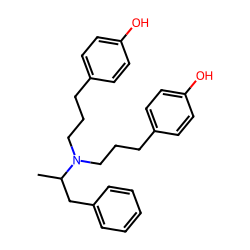 CC(Cc1ccccc1)N(CCCc1ccc(O)cc1)CCCc1ccc(O)cc1